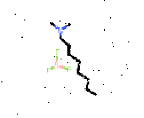 CCCCCCCCN(C)C.FB(F)F